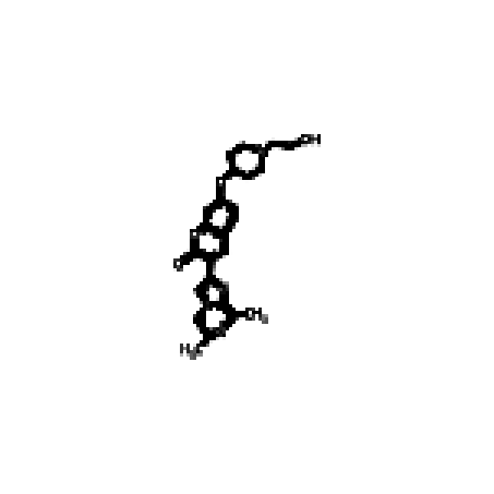 Cc1cn2cc(-c3cc4ccc(OC5CCN(CCO)CC5)cc4oc3=O)nc2c(C)n1